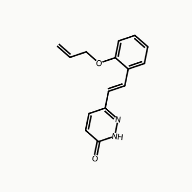 C=CCOc1ccccc1/C=C/c1ccc(=O)[nH]n1